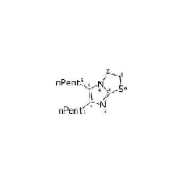 CCCCCc1nc2n(c1CCCCC)CCS2